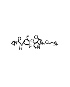 C[Si](C)(C)CCOCn1cc(Cl)c2c(Oc3c(F)cc(NC(=O)N4CCC4)cc3F)ccnc21